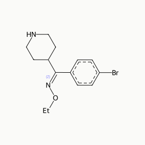 CCO/N=C(\c1ccc(Br)cc1)C1CCNCC1